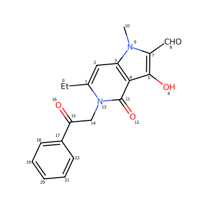 CCc1cc2c(c(O)c(C=O)n2C)c(=O)n1CC(=O)c1ccccc1